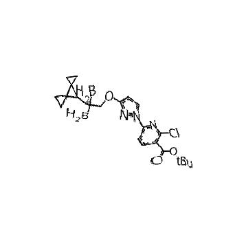 BC(B)(COc1ccn(-c2ccc(C(=O)OC(C)(C)C)c(Cl)n2)n1)C1C2(CC2)C12CC2